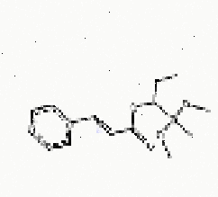 CCC(OC(=O)/C=C/c1ccccc1)[Si](C)(OC)OC